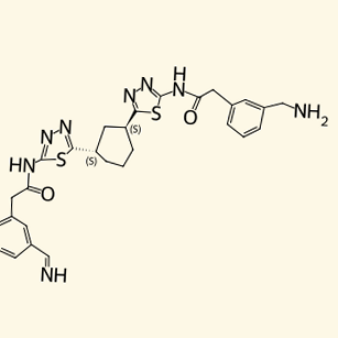 N=Cc1cccc(CC(=O)Nc2nnc([C@H]3CCC[C@H](c4nnc(NC(=O)Cc5cccc(CN)c5)s4)C3)s2)c1